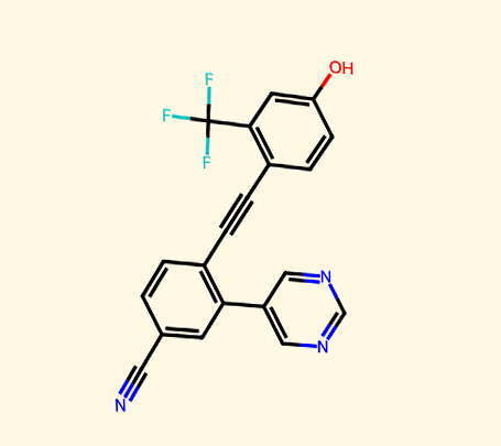 N#Cc1ccc(C#Cc2ccc(O)cc2C(F)(F)F)c(-c2cncnc2)c1